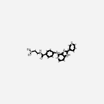 CCN(CC)CCNC(=O)c1ccc(Nc2nccc3[nH]c(-c4cccnc4)nc23)cc1